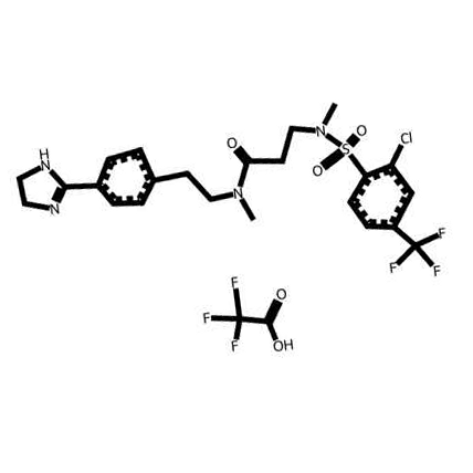 CN(CCc1ccc(C2=NCCN2)cc1)C(=O)CCN(C)S(=O)(=O)c1ccc(C(F)(F)F)cc1Cl.O=C(O)C(F)(F)F